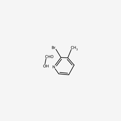 Cc1cccnc1Br.O=CO